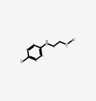 Clc1ccc(NCCOBr)cc1